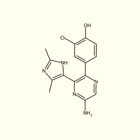 Cc1nc(C)c(-c2nc(N)cnc2-c2ccc(O)c(Cl)c2)[nH]1